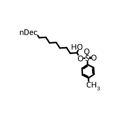 CCCCCCCCCCCCCCCCCC(O)OS(=O)(=O)c1ccc(C)cc1